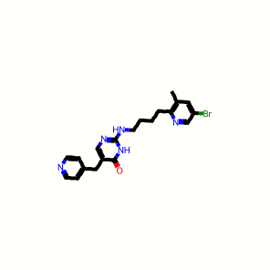 Cc1cc(Br)cnc1CCCCNc1ncc(Cc2ccncc2)c(=O)[nH]1